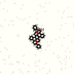 OBc1ccc2c(-c3ccccc3-c3ccc(-c4ccccc4)cc3)c3ccccc3c(-c3ccccc3-c3ccc(-c4ccccc4)cc3)c2c1